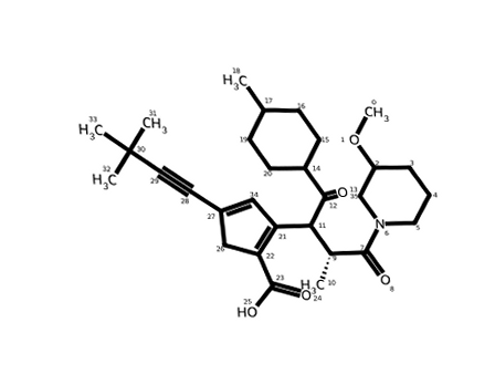 COC1CCCN(C(=O)[C@H](C)C(C(=O)C2CCC(C)CC2)C2=C(C(=O)O)CC(C#CC(C)(C)C)=C2)C1